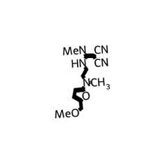 CNC(NCCN(C)c1ccc(COC)o1)=C(C#N)C#N